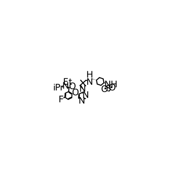 CCN(C(=O)c1cc(F)ccc1Oc1cncnc1N1CC(C)(CNC[C@H]2CC[C@H](NS(C)(=O)=O)CC2)C1)C(C)C